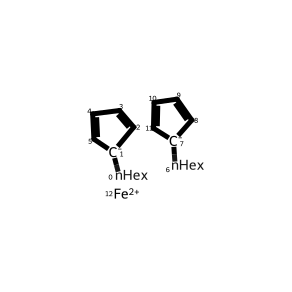 CCCCCC[c-]1cccc1.CCCCCC[c-]1cccc1.[Fe+2]